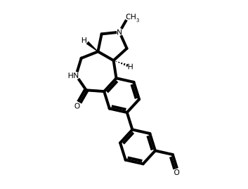 CN1C[C@H]2CNC(=O)c3cc(-c4cccc(C=O)c4)ccc3[C@@H]2C1